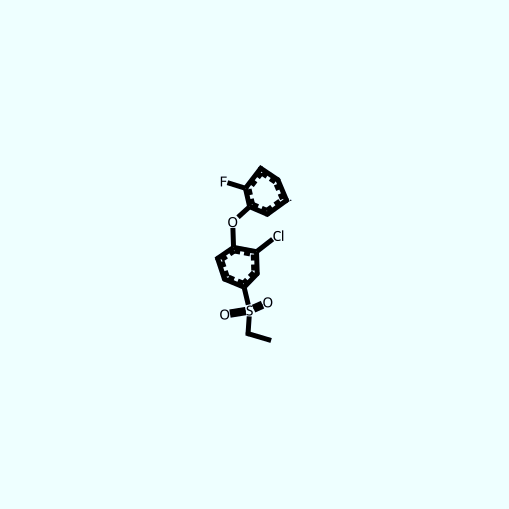 CCS(=O)(=O)c1ccc(Oc2c[c]ccc2F)c(Cl)c1